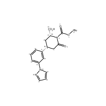 CC(C)(C)OC(=O)N1C(=O)C[C@H](c2cccc(-n3cccn3)c2)C[C@@H]1C(=O)O